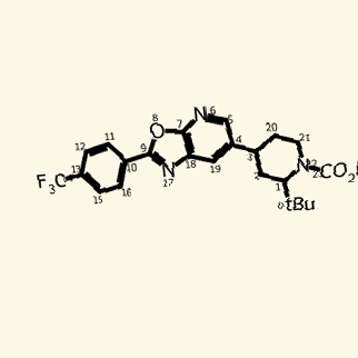 CC(C)(C)C1CC(c2cnc3oc(-c4ccc(C(F)(F)F)cc4)nc3c2)CCN1C(=O)O